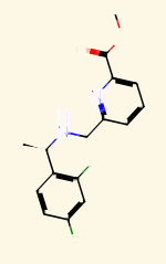 COC(=O)c1cccc(CN[C@H](C)c2ccc(F)cc2F)n1